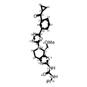 COC[C@H]1c2sc(NC(=O)NC(C)C)nc2CCN1c1nnc(-c2cccc(C(=O)C3CC3)c2)o1